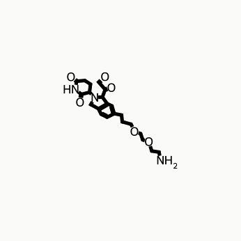 NCCOCCOCCCc1ccc2c(c1)C(C(=O)C=O)N(C1CCC(=O)NC1=O)C2